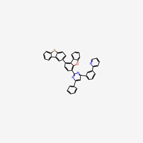 c1ccc(-c2cc(-c3cccc(-c4ccccn4)c3)nc(-c3ccc(-c4ccc5sc6ccccc6c5c4)c4c3oc3ccccc34)n2)cc1